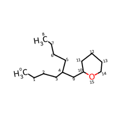 CCCCC(CCCC)CC1CCCCO1